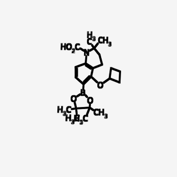 CC1(C)CCc2c(ccc(B3OC(C)(C)C(C)(C)O3)c2OC2CCC2)N1C(=O)O